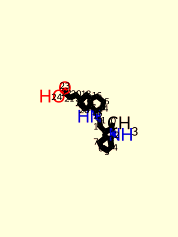 Cc1[nH]c2ccccc2c1CCNC1CCCc2cc(/C=C/C(=O)O)ccc21